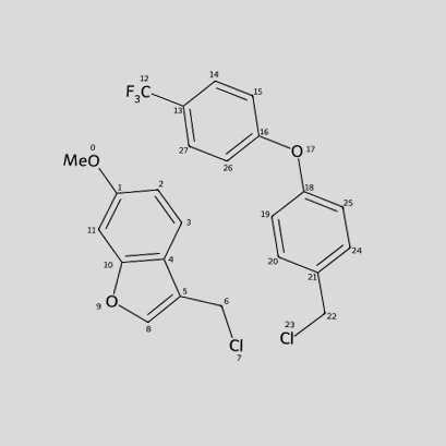 COc1ccc2c(CCl)coc2c1.FC(F)(F)c1ccc(Oc2ccc(CCl)cc2)cc1